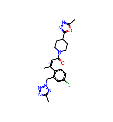 C/C(=C/C(=O)N1CCC(c2nnc(C)o2)CC1)c1ccc(Cl)cc1Cn1nnc(C)n1